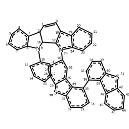 C1=CC2c3ccccc3N(c3ccccc3)C2c2c1c1ccccc1n2-c1ccc2sc3cccc(-c4cccc5sc6ccccc6c45)c3c2c1